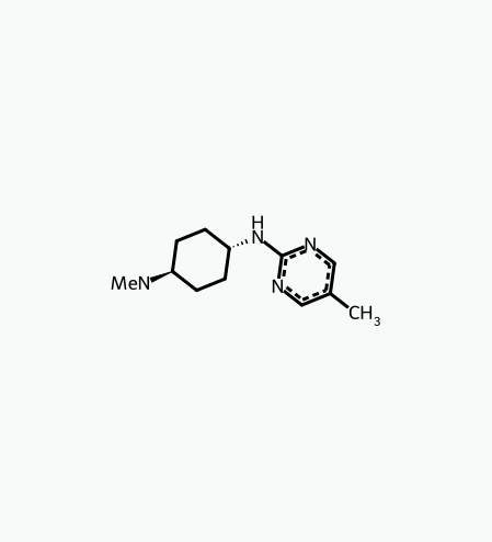 CN[C@H]1CC[C@H](Nc2ncc(C)cn2)CC1